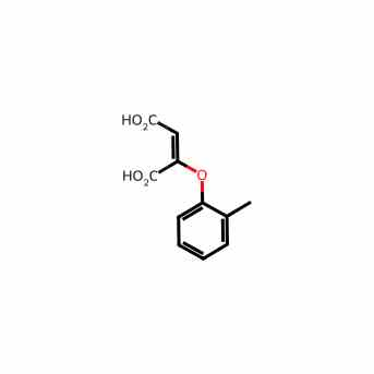 Cc1ccccc1O/C(=C/C(=O)O)C(=O)O